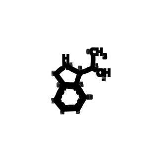 CC(O)C1NCc2ccccc21